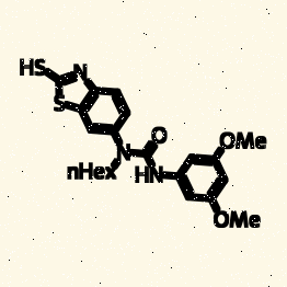 CCCCCCN(C(=O)Nc1cc(OC)cc(OC)c1)c1ccc2nc(S)sc2c1